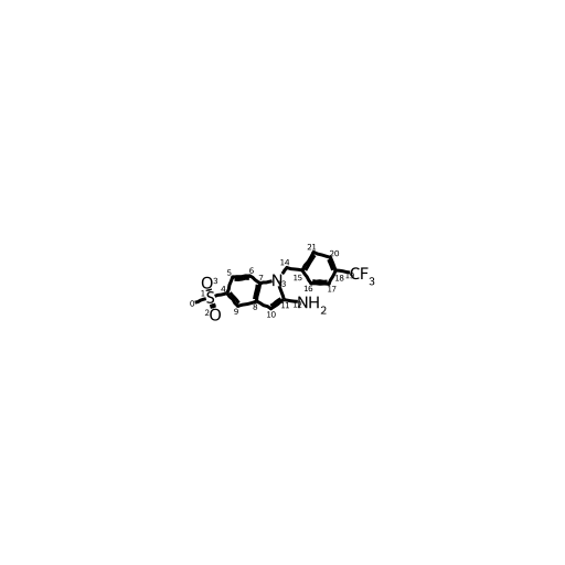 CS(=O)(=O)c1ccc2c(c1)cc(N)n2Cc1ccc(C(F)(F)F)cc1